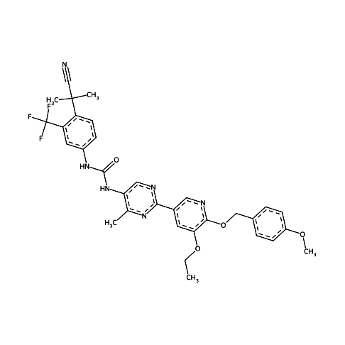 CCOc1cc(-c2ncc(NC(=O)Nc3ccc(C(C)(C)C#N)c(C(F)(F)F)c3)c(C)n2)cnc1OCc1ccc(OC)cc1